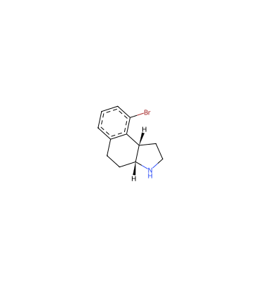 Brc1cccc2c1[C@@H]1CCN[C@@H]1CC2